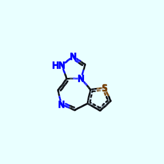 C1=NC=C2NN=CN2c2sccc21